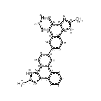 Cc1nc2c3ccccc3c3cc(-c4ccc5c(c4)c4cnncc4c4nc(C)[nH]c54)ccc3c2[nH]1